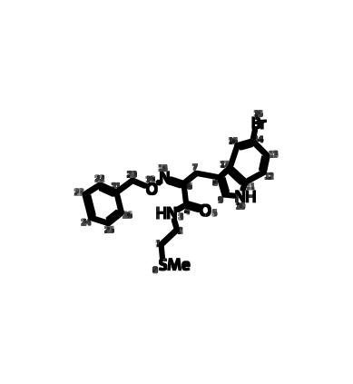 CSCCNC(=O)/C(Cc1c[nH]c2ccc(Br)cc12)=N\OCc1ccccc1